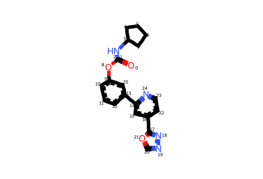 O=C(NC1CCCC1)Oc1cccc(-c2cc(-c3nnco3)ccn2)c1